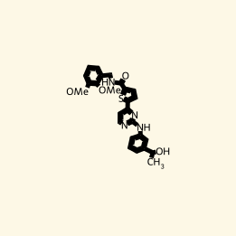 COc1cccc(CNC(=O)c2ccc(-c3ccnc(Nc4cccc(C(C)O)c4)n3)s2)c1OC